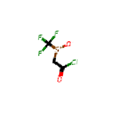 O=C(Cl)C[S+]([O-])C(F)(F)F